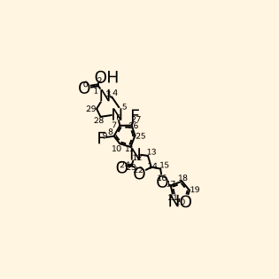 O=C(O)N1CCN(c2c(F)cc(N3CC(COc4ccon4)OC3=O)cc2F)CC1